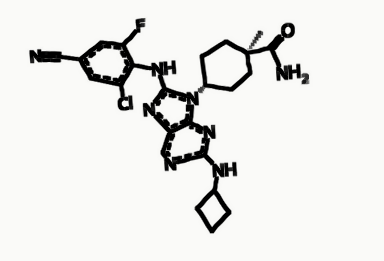 C[C@]1(C(N)=O)CC[C@H](n2c(Nc3c(F)cc(C#N)cc3Cl)nc3cnc(NC4CCC4)nc32)CC1